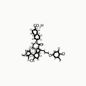 Cc1cc(OCCCc2c3n(c4c(-c5c(C)nn(C)c5C)c(Cl)ccc24)C(C)CN(c2ccc4cc(C(=O)O)ccc4c2)C3=O)cc(C)c1Cl